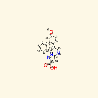 COc1cccc(-c2ccccc2-c2ccnc3cc(C(=O)O)nn23)c1